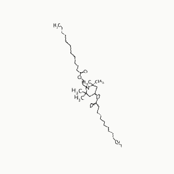 CCCCCCCCCCCC(=O)OCCN1C(C)(C)CC(OC(=O)CCCCCCCCCCC)CC1(C)C